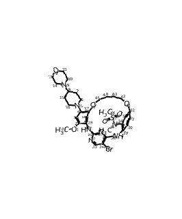 COc1cc(N2CCC(N3CCOCC3)CC2)c2cc1Nc1ncc(Br)c(n1)Nc1ccc(cc1N(C)S(C)(=O)=O)OCCCCO2